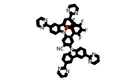 N#Cc1cc(-n2c3ccc(-c4ncccn4)cc3c3cc(-c4ncccn4)ccc32)c(-c2c(F)c(F)c(F)c(F)c2F)cc1-n1c2ccc(-c3ncccn3)cc2c2cc(-c3ncccn3)ccc21